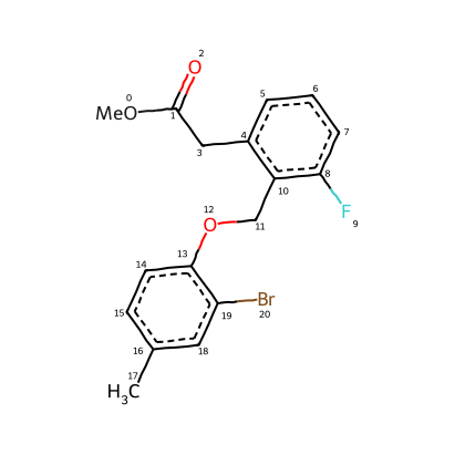 COC(=O)Cc1cccc(F)c1COc1ccc(C)cc1Br